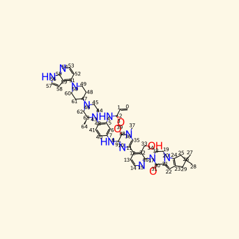 C=CC(=O)Nc1cc(Nc2nc(-c3ccnc(N4CCn5c(cc6c5CC(C)(C)C6)C4=O)c3CO)cn(C)c2=O)ccc1N1CCN(C2CCN(c3ccnc4[nH]ccc34)CC2)C[C@@H]1C